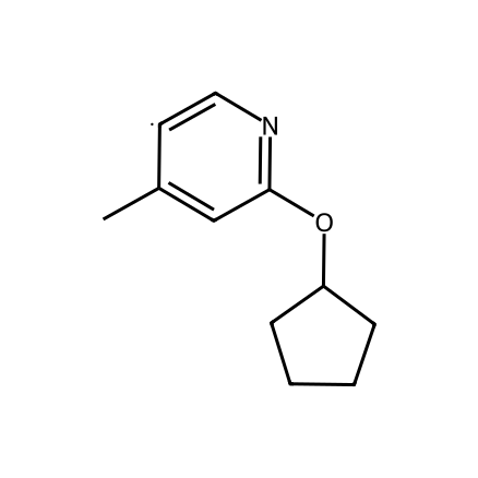 Cc1[c]cnc(OC2CCCC2)c1